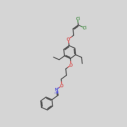 CCc1cc(OCC=C(Cl)Cl)cc(CC)c1OCCCO/N=C/c1ccccc1